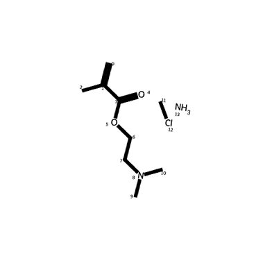 C=C(C)C(=O)OCCN(C)C.CCl.N